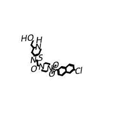 O=C(c1nc2c(s1)CNC(CCO)C2)N1CCN(S(=O)(=O)c2ccc3cc(Cl)ccc3c2)CC1